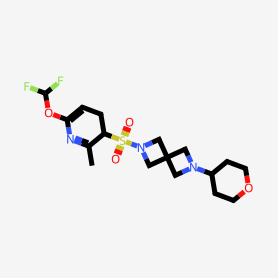 CC1=NC(OC(F)F)=CCC1S(=O)(=O)N1CC2(CN(C3CCOCC3)C2)C1